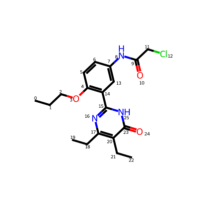 CCCOc1ccc(NC(=O)CCl)cc1-c1nc(CC)c(CC)c(=O)[nH]1